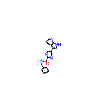 C[C@H](NC(=O)c1ncc(-c2c[nH]c3ncccc23)cn1)c1ccccc1